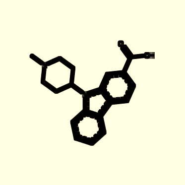 CN1CCC(n2c3ccccc3c3ccc(C(=O)O)cc32)CC1